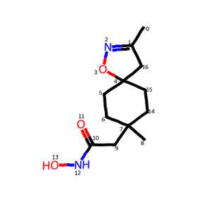 CC1=NOC2(CCC(C)(CC(=O)NO)CC2)C1